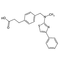 CN(Cc1ccc(CCC(=O)O)cc1)c1nc(-c2ccccc2)cs1